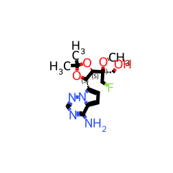 CO[C@@](CO)(CF)[C@H]1OC(C)(C)O[C@H]1c1ccc2c(N)ncnn12